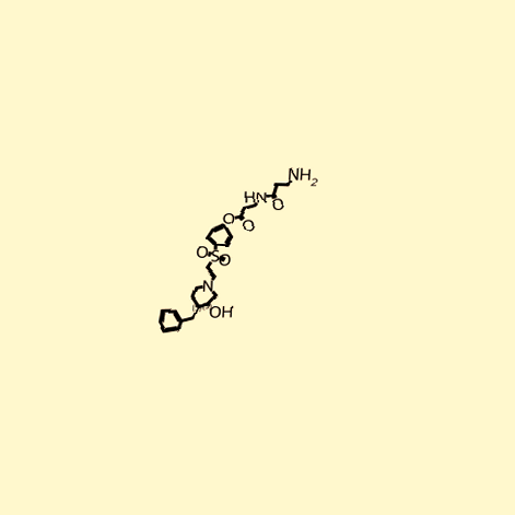 NCCC(=O)NCCC(=O)Oc1ccc(S(=O)(=O)CCN2CC[C@H](Cc3ccccc3)[C@H](O)C2)cc1